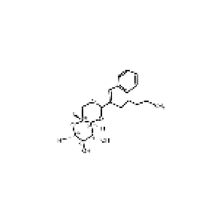 CCCCCC(=Cc1ccccc1)C1OC[C@H]2O[C@@H](O)[C@H](O)[C@@H](O)[C@@H]2O1